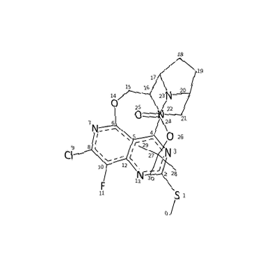 CSc1nc2c3c(nc(Cl)c(F)c3n1)OCC1C3CCC(CN21)N3C(=O)OC(C)(C)C